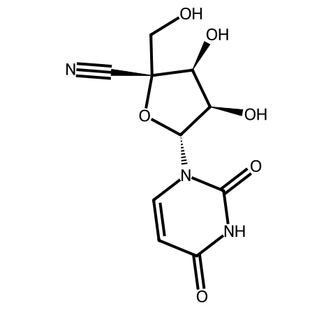 N#C[C@]1(CO)O[C@@H](n2ccc(=O)[nH]c2=O)[C@H](O)[C@@H]1O